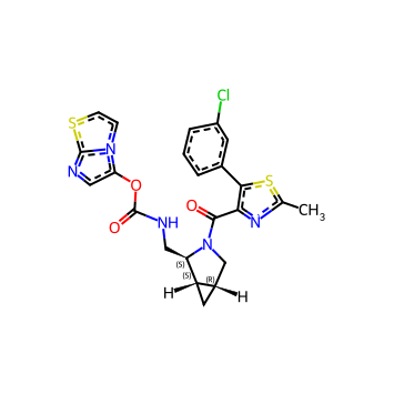 Cc1nc(C(=O)N2C[C@@H]3C[C@@H]3[C@H]2CNC(=O)Oc2cnc3sccn23)c(-c2cccc(Cl)c2)s1